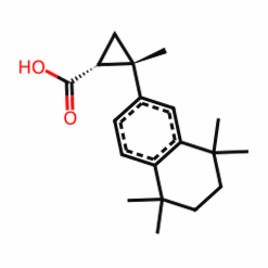 CC1(C)CCC(C)(C)c2cc([C@@]3(C)C[C@H]3C(=O)O)ccc21